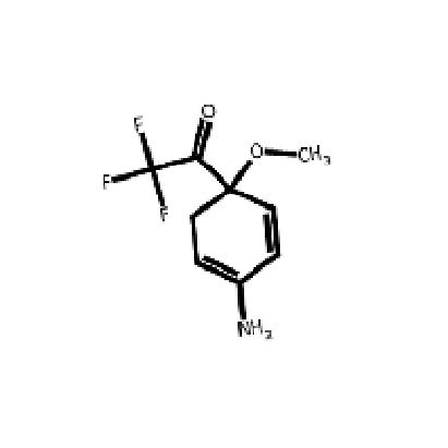 COC1(C(=O)C(F)(F)F)C=CC(N)=CC1